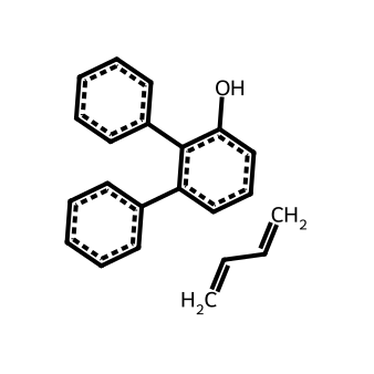 C=CC=C.Oc1cccc(-c2ccccc2)c1-c1ccccc1